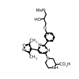 CNCC(O)COc1cccc(-c2nc(-c3c(C)noc3C)cc(N3CCNC(C(=O)O)C3)n2)c1